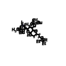 CC[Si](CC)(CC)OCCC1CC[C@@H]2OC(C(/C=C/I)O[Si](C)(C)C(C)(C)C)CC(O[Si](C)(C)C(C)(C)C)C2O1